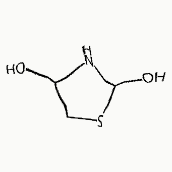 OC1CSC(O)N1